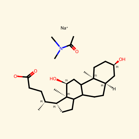 CC(=O)N(C)C.C[C@H](CCC(=O)[O-])[C@H]1CCC2C3CC[C@@H]4C[C@H](O)CC[C@]4(C)C3C[C@H](O)[C@@]21C.[Na+]